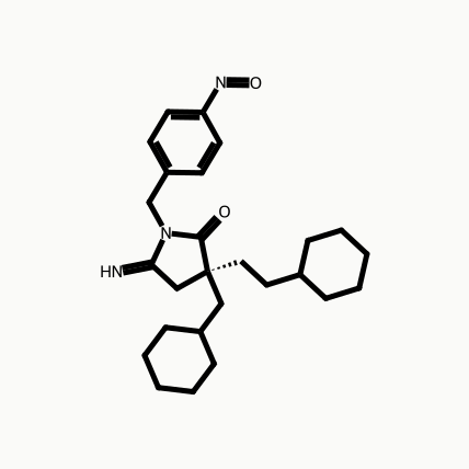 N=C1C[C@](CCC2CCCCC2)(CC2CCCCC2)C(=O)N1Cc1ccc(N=O)cc1